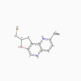 COc1ccc2ncc3c(c2n1)CC(CBr)O3